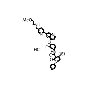 CCOc1ccn(-c2ccccc2)c(=O)c1C(=O)Nc1ccc(Oc2ccnc3cc(-c4ccc(CNCCOC)cn4)sc23)c(F)c1.Cl